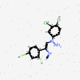 C=N/C(=C\N(N)c1ccc(Cl)c(Cl)c1)c1ccc(F)cc1F